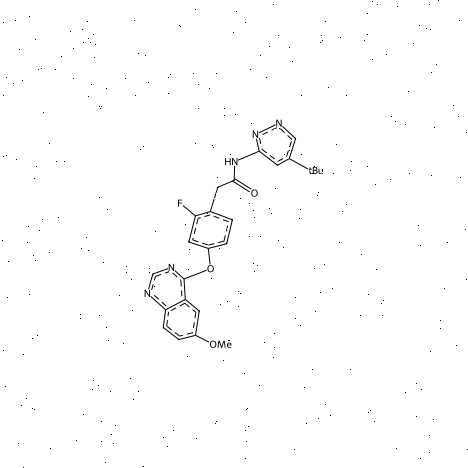 COc1ccc2ncnc(Oc3ccc(CC(=O)Nc4cc(C(C)(C)C)cnn4)c(F)c3)c2c1